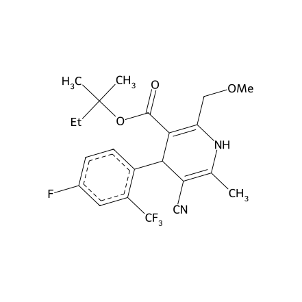 CCC(C)(C)OC(=O)C1=C(COC)NC(C)=C(C#N)C1c1ccc(F)cc1C(F)(F)F